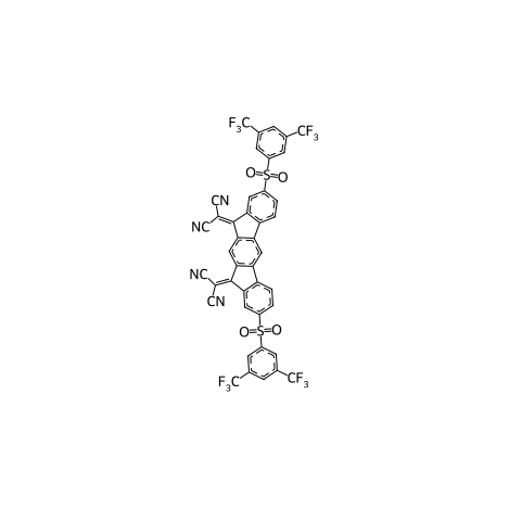 N#CC(C#N)=C1c2cc(S(=O)(=O)c3cc(C(F)(F)F)cc(C(F)(F)F)c3)ccc2-c2cc3c(cc21)C(=C(C#N)C#N)c1cc(S(=O)(=O)c2cc(C(F)(F)F)cc(C(F)(F)F)c2)ccc1-3